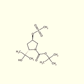 CC(C)(C)OC(=O)N1C[C@H](OS(C)(=O)=O)C[C@H]1C(C)(C)O